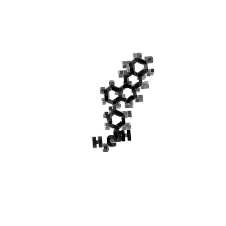 CBc1ccc(-c2cccc3c2ccc2cc4ccccc4cc23)cc1